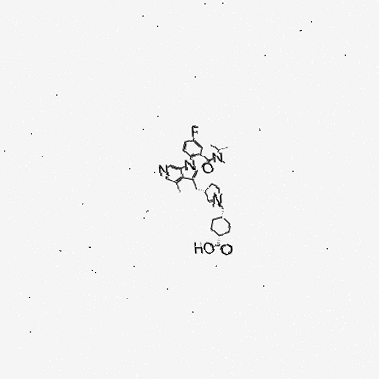 Cc1cncc2c1c(C[C@@H]1CCN(C[C@H]3CC[C@@H](C(=O)O)CC3)C1)cn2-c1ccc(F)cc1C(=O)N(C)C(C)C